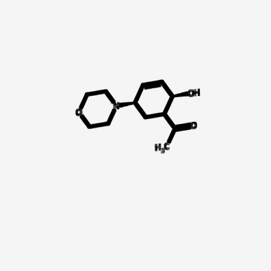 CC(=O)C1C[C@@H](N2CCOCC2)C=C[C@H]1O